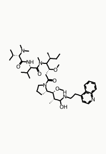 CC[C@H](C)C([C@@H](CC(=O)N1CCC[C@H]1[C@H](OC)[C@@H](C)C(O)NCCc1ccnc2ccccc12)OC)N(C)C(=O)[C@@H](NC(=O)[C@H](C(C)C)N(C)C)C(C)C